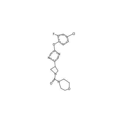 O=C(N1CCOCC1)N1CC(c2cnc(Oc3ccc(Cl)cc3F)cn2)C1